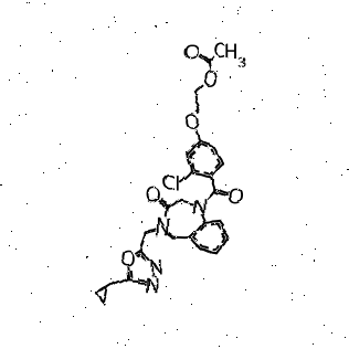 CC(=O)OCCOc1ccc(C(=O)N2CC(=O)N(Cc3nnc(C4CC4)o3)Cc3ccccc32)c(Cl)c1